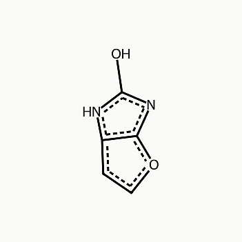 Oc1nc2occc2[nH]1